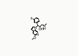 CNCC(O)C(c1cccc(F)c1)n1ccc2cc(OC)ncc21